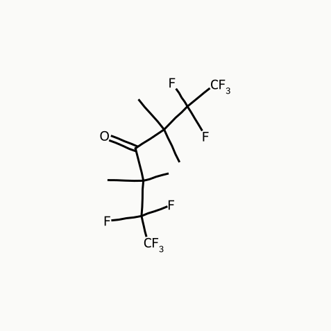 CC(C)(C(=O)C(C)(C)C(F)(F)C(F)(F)F)C(F)(F)C(F)(F)F